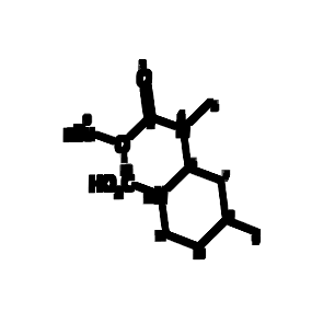 CCCCOC(=O)N(C)C1CC(C)CCN1C(=O)O